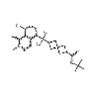 [2H]C([2H])(c1ccc(Cl)c2c(=O)n(C)ncc12)C1CC2(C1)CN(C(=O)OC(C)(C)C)C2